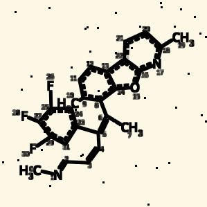 C/N=C/C=C\C(=C(/C)c1c(C)ccc2c1oc1nc(C)ccc12)c1cc(F)c(F)c(F)c1